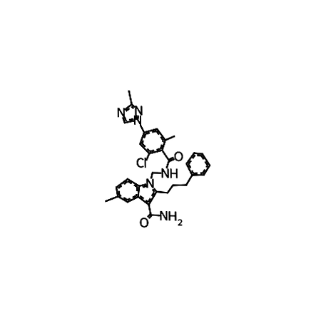 Cc1ccc2c(c1)c(C(N)=O)c(CCCc1ccccc1)n2CNC(=O)c1c(C)cc(-n2cnc(C)n2)cc1Cl